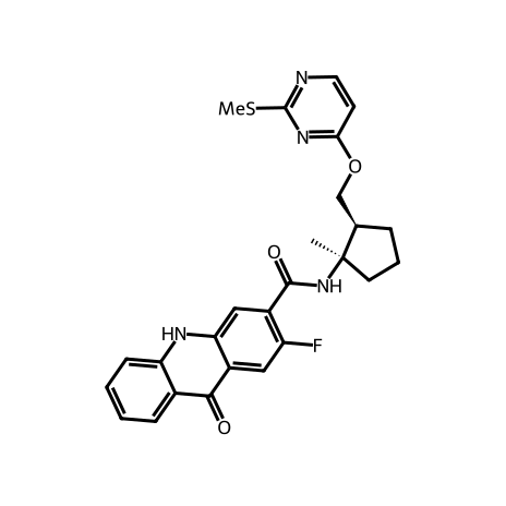 CSc1nccc(OC[C@H]2CCC[C@@]2(C)NC(=O)c2cc3[nH]c4ccccc4c(=O)c3cc2F)n1